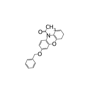 CC(=O)N1C2=C(CCC=C2)Oc2cc(OCc3ccccc3)ccc21